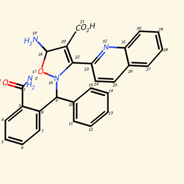 NC(=O)c1ccccc1C(c1ccccc1)N1OC(N)C(C(=O)O)=C1c1ccc2ccccc2n1